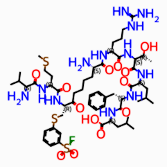 CSCC[C@H](NC(=O)[C@@H](N)C(C)C)C(=O)N[C@@H](CSc1cccc(S(=O)(=O)F)c1)C(=O)CCCC[C@H](N)C(=O)N[C@@H](CCCNC(=N)N)C(=O)N[C@H](C(=O)N[C@@H](CC(C)C)C(=O)N[C@@H](Cc1ccccc1)C(=O)N[C@@H](CC(C)C)C(=O)O)[C@@H](C)O